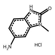 Cl.Cn1c(=O)[nH]c2ccc(N)cc21